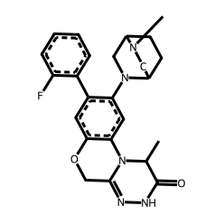 CC1C(=O)NN=C2COc3cc(-c4ccccc4F)c(N4CC5CCC4CN5C)cc3N21